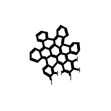 Ic1ccc2c(c1I)c1c3c(I)c(I)c(I)c(I)c3c3c4ccccc4c4c5ccccc5c5c6ccccc6c6c7ccccc7c2c2c6c5c4c3c12